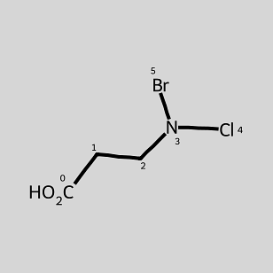 O=C(O)CCN(Cl)Br